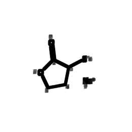 O=C1OCCC1[S-].[Na+]